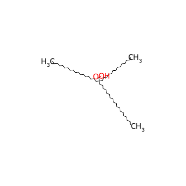 CCCCCCCCCCCCCCCCCCCCC(CCCCCCCCCCCCCC)(CCCCCCCCCCCCCCCCCC)C(=O)O